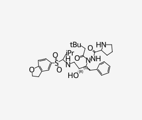 CC(C)C(NC[C@@H](O)[C@H](Cc1ccccc1)N(NC(=O)C1CCCN1)C(=O)CC(C)(C)C)S(=O)(=O)c1ccc2c(c1)CCO2